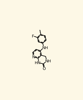 Cc1ccc(Nc2ccnc3c2CNC(=O)N3)cc1F